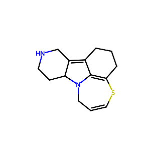 C1=CSC2=C3C(=C4CNCCC4N3C1)CCC2